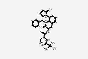 CC(C)C[C@@H](NC(=O)C(C)(C)N)C(=O)NC1Cc2cccc(N3CCCC3=O)c2N(Cc2ccccc2)C1=O